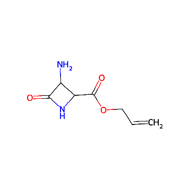 C=CCOC(=O)C1NC(=O)C1N